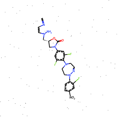 C=N/C=C\N(N)C[C@H]1CN(c2cc(F)c(N3CC=NN(c4ccc([N+](=O)[O-])cc4F)CC3)c(F)c2)C(=O)O1